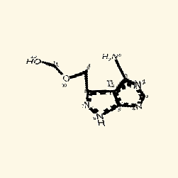 Nc1ncnc2[nH]nc(COCO)c12